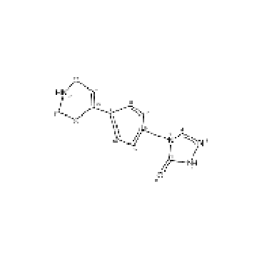 O=c1[nH]ncn1-c1ccc(C2=CCNCC2)cc1